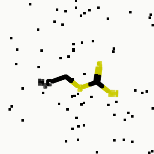 CCSC(=S)S